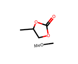 CC1COC(=O)O1.COC